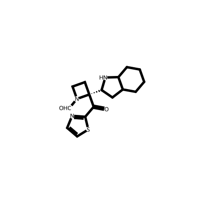 O=CN1CC[C@]1(C(=O)c1nccs1)C1CC2CCCCC2N1